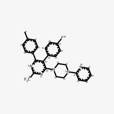 Cc1ccc(-c2nc(C(F)(F)F)nc(N3CCN(c4ccccn4)CC3)c2-c2ccc(F)cc2)cc1